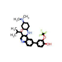 CC(C)C(=O)c1cnc2ccc(-c3ccc(O)c(OC(F)(F)F)c3)cc2c1NC1CCC(N(C)C)CC1